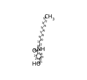 CCCCCCCCCCCCCCNC(=O)C1CC=C(CO)CC1